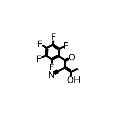 C/C(O)=C(/C#N)C(=O)c1c(F)c(F)c(F)c(F)c1F